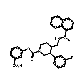 C[C@@H](NCC1CCN(C(=O)Oc2cccc(C(=O)O)c2)CC1c1cccc(F)c1)c1cccc2ccccc12